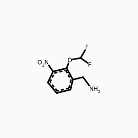 NCc1cccc([N+](=O)[O-])c1OC(F)F